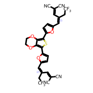 N#CC(C#N)=C/C(=C\c1ccc(-c2sc(-c3ccc(/C=C(\C=C(C#N)C#N)CC(F)(F)F)o3)c3c2OCCO3)o1)CC(F)(F)F